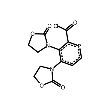 O=C(Cl)c1pccc(N2CCOC2=O)c1N1CCOC1=O